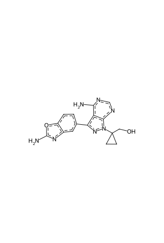 Nc1nc2cc(-c3nn(C4(CO)CC4)c4ncnc(N)c34)ccc2o1